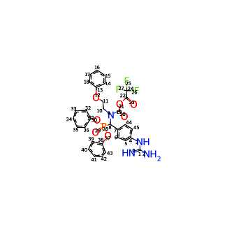 N=C(N)Nc1ccc(C(N(CCOc2ccccc2)C(=O)OC(=O)C(F)(F)F)P(=O)(Oc2ccccc2)Oc2ccccc2)cc1